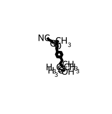 CP(OCCC#N)OCc1ccc(CCC(C)(C)[Si](C)(C)O)cc1